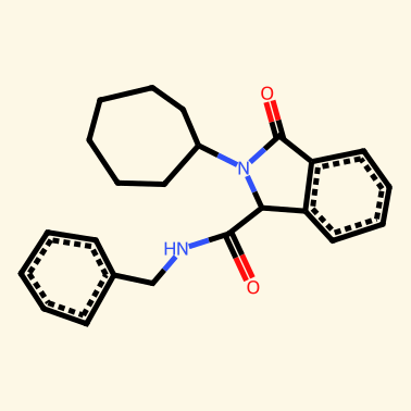 O=C(NCc1ccccc1)C1c2ccccc2C(=O)N1C1CCCCCC1